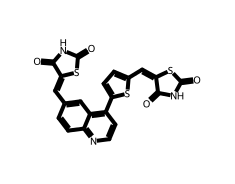 O=C1NC(=O)C(=Cc2ccc3nccc(-c4ccc(C=C5SC(=O)NC5=O)s4)c3c2)S1